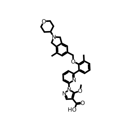 COc1c(C(=O)O)cnn1-c1cccc(-c2cccc(C)c2OCc2cc(C)c3c(c2)CN(C2CCOCC2)C3)n1